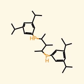 CC(C)c1cc(PC(C)C(C)C(C)Pc2cc(C(C)C)cc(C(C)C)c2)cc(C(C)C)c1